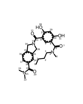 CCCCN(C)C(=O)c1cc(C(=O)N2Cc3ccc(C(=O)N(C)C)cc3C2)c(O)cc1O